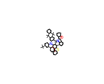 CC(C)(C)c1ccc(N2c3cc4c(cc3B3c5c2cc2c(sc6ccccc62)c5-c2cccc5c6oc7ccccc7c6n3c25)C(C)(C)c2ccccc2C4(C)C)c(-c2ccccc2)c1